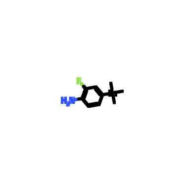 [CH3][Sn]([CH3])([CH3])[c]1ccc(N)c(F)c1